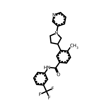 Cc1ccc(C(=O)Nc2cccc(C(F)(F)F)c2)cc1C1CCN(c2cccnc2)C1